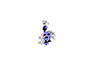 CCSc1ccc(CN/C(C=O)=N/c2c(C)nc(-c3c(C)ncnc3C3CC3)nc2N(C)[C@@H](C)CC)cn1